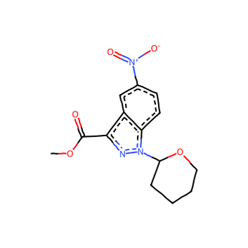 COC(=O)c1nn(C2CCCCO2)c2ccc([N+](=O)[O-])cc12